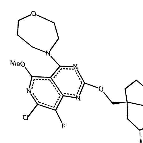 COc1nc(Cl)c(F)c2nc(OC[C@@]34CCCN3C[C@H](F)C4)nc(N3CCCOCC3)c12